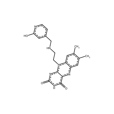 Cc1cc2nc3c(=O)[nH]c(=O)nc-3n(CCNCc3ccnc(O)c3)c2cc1C